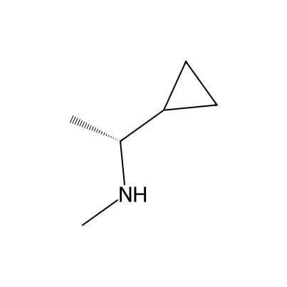 CN[C@H](C)C1CC1